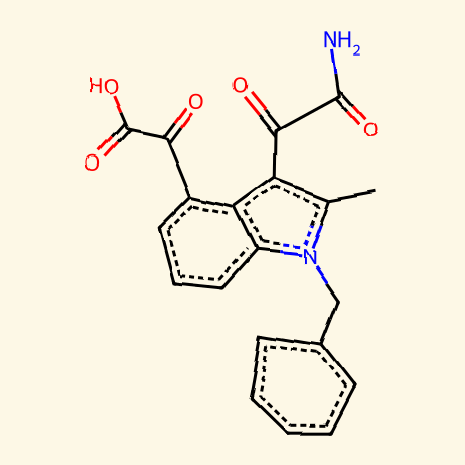 Cc1c(C(=O)C(N)=O)c2c(C(=O)C(=O)O)cccc2n1Cc1ccccc1